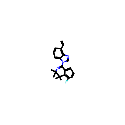 C=Cc1cccc2c1ncn2C1=NC(C)(C)C(C)(C)c2c(F)cccc21